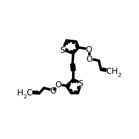 C=CCOOc1ccsc1C#Cc1sccc1OOCC=C